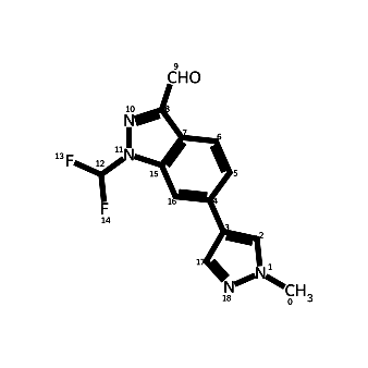 Cn1cc(-c2ccc3c(C=O)nn(C(F)F)c3c2)cn1